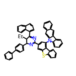 CCC1C(c2cccc3ccccc23)=NC(c2cc(-n3c4ccccc4c4cc5ccccc5cc43)c3c(c2)sc2ccccc23)=NC1c1ccc(-c2ccccc2)cc1